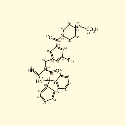 N=C1NC(c2ccccc2)(c2ccccc2)C(=O)N1Cc1cc(F)cc(C(=O)N2CCC(NC(=O)O)CC2)c1